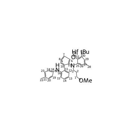 COCCCN(c1ccccc1-c1ccccc1Nc1ccc(C)cc1)c1cc(C)cc(C(C)(C)C)c1[O][Hf]